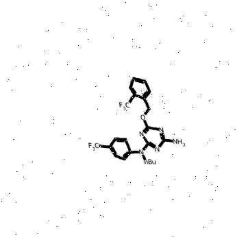 CCCCN(c1ccc(C(F)(F)F)cc1)c1nc(N)nc(OCc2ccccc2C(F)(F)F)n1